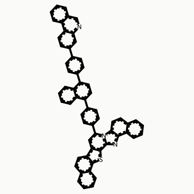 c1ccc2c(c1)cnc1cc(-c3ccc(-c4ccc(-c5ccc(-c6cc7c8ccc9ccccc9c8sc7c7nc8c9ccccc9ccc8n67)cc5)c5ccccc45)cc3)ccc12